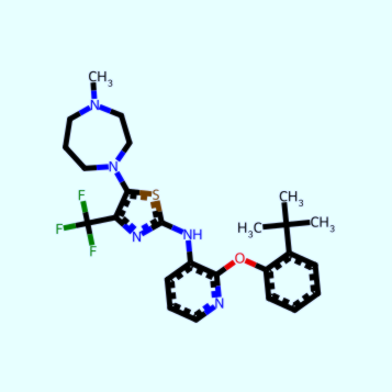 CN1CCCN(c2sc(Nc3cccnc3Oc3ccccc3C(C)(C)C)nc2C(F)(F)F)CC1